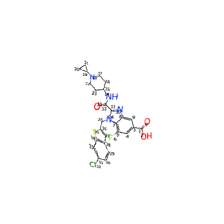 O=C(O)c1cc(F)c2c(c1)nc(C(=O)NC1CCN(C3CC3)CC1)n2Cc1cc2ccc(Cl)cc2s1